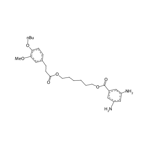 CCCCOc1ccc(CCC(=O)OCCCCCCOC(=O)c2cc(N)cc(N)c2)cc1OC